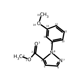 COC(=O)c1ccnn1-c1cccc(OC)c1